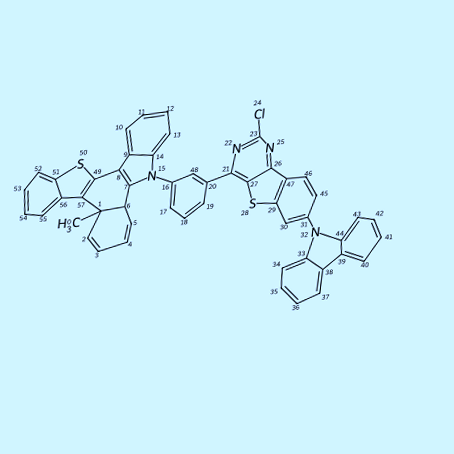 CC12C=CC=CC1c1c(c3ccccc3n1-c1cccc(-c3nc(Cl)nc4c3sc3cc(-n5c6ccccc6c6ccccc65)ccc34)c1)-c1sc3ccccc3c12